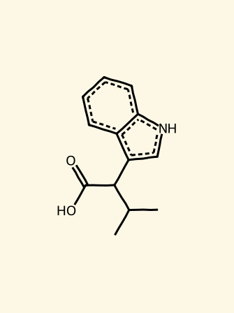 CC(C)C(C(=O)O)c1c[nH]c2ccccc12